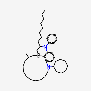 CCCCCCCCC1CB2CC(C)CCCCCCCCCN(C3CCCCCCC3)c3cccc(c32)N1c1ccccc1